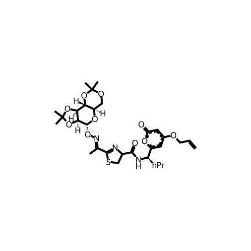 C=CCOc1cc([C@@H](CCC)NC(=O)C2CSC(/C(C)=N/O[C@H]3O[C@@H]4COC(C)(C)O[C@H]4[C@@H]4OC(C)(C)O[C@H]34)=N2)oc(=O)c1